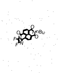 CCCCN1C(=O)c2ccc3c(=O)n4c(F)c(F)nc4c4ccc(c2c34)C1=O